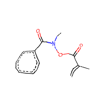 C=C(C)C(=O)ON(C)C(=O)c1ccccc1